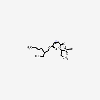 CCCCC(CC)COC(=O)/C=C\C(=O)OC(CC)S(=O)(=O)O